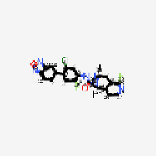 O=C(Nc1cc(Cl)c(-c2ccc3nonc3c2)cc1F)N1[C@H]2CC[C@@H]1c1ccnc(F)c1C2